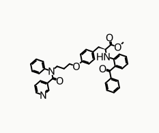 COC(=O)[C@H](Cc1ccc(OCCCN(C(=O)c2cccnc2)c2ccccc2)cc1)Nc1ccccc1C(=O)c1ccccc1